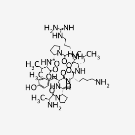 CC(C)C[C@H](NC(=O)[C@H](CCCCN)NC(=O)[C@H](Cc1ccc(O)cc1)NC(=O)[C@@H]1CCCN1C(=O)[C@H](C)N)C(=O)N[C@@H](CCCNC(=N)N)C(=O)N1CCC[C@H]1C(=O)N[C@H](C(=O)O)C(C)C